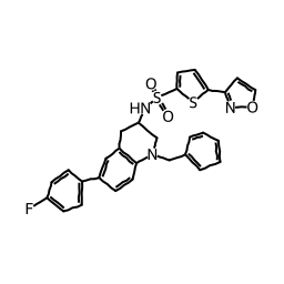 O=S(=O)(NC1Cc2cc(-c3ccc(F)cc3)ccc2N(Cc2ccccc2)C1)c1ccc(-c2ccon2)s1